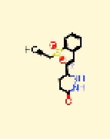 C#CCS(=O)(=O)c1ccccc1/C=C/C1CCC(=O)NN1